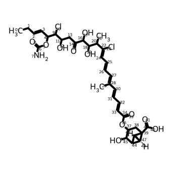 CC/C=C/C(OC(N)=O)C(Cl)C(O)CC(=O)C(O)C(O)C(C)/C(Cl)=C/C=C/C=C(C)/C=C/C=C/C(=O)OC1CC2(C(=O)O)[C@H]3C(C1O)[C@@H]32